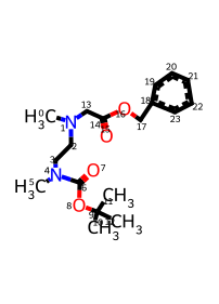 CN(CCN(C)C(=O)OC(C)(C)C)CC(=O)OCc1ccccc1